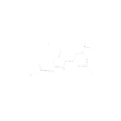 CCc1sc(NC(C)=O)nc1-c1cc(C)cc(C(F)(F)F)c1